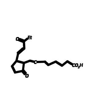 CCC(=O)C=CC1CCC(=O)C1CCCCCCCC(=O)O